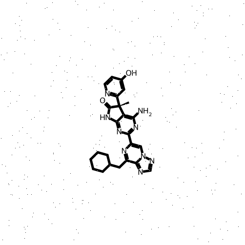 C[C@]1(c2cc(O)ccn2)C(=O)Nc2nc(-c3cn4ncnc4c(CC4CCCCC4)n3)nc(N)c21